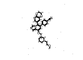 COCCN1CCC[C@@H](COc2cc(-c3ccc(C#N)cc3)c(-c3cnc4c(c3)OCCO4)n3cncc23)C1